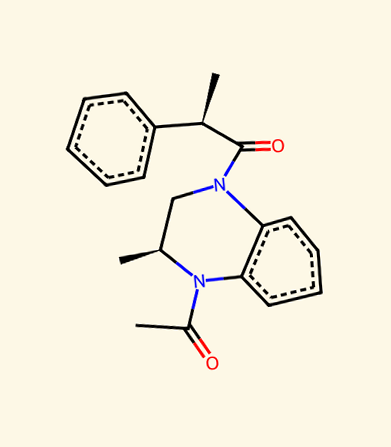 CC(=O)N1c2ccccc2N(C(=O)[C@H](C)c2ccccc2)C[C@@H]1C